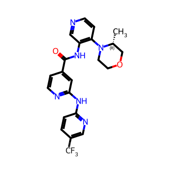 C[C@@H]1COCCN1c1ccncc1NC(=O)c1ccnc(Nc2ccc(C(F)(F)F)cn2)c1